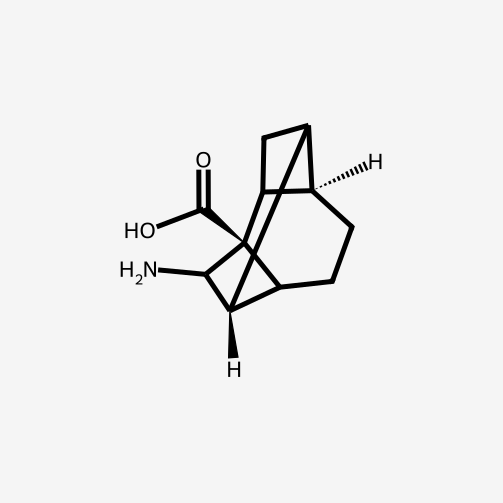 NC1[C@@H]2C3CC4[C@@H]3CCC2[C@@]41C(=O)O